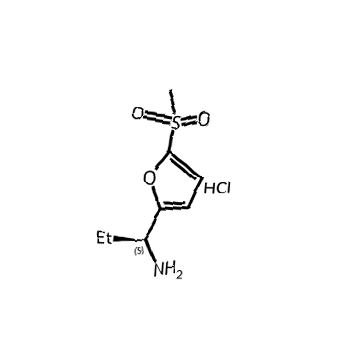 CC[C@H](N)c1ccc(S(C)(=O)=O)o1.Cl